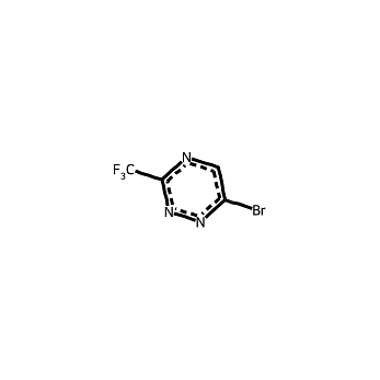 FC(F)(F)c1ncc(Br)nn1